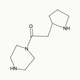 O=C(CC1CCCN1)N1CCNCC1